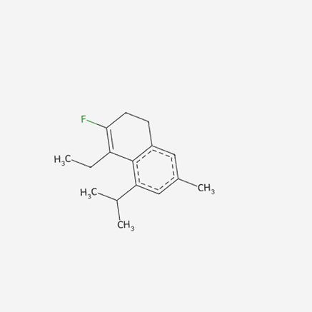 CCC1=C(F)CCc2cc(C)cc(C(C)C)c21